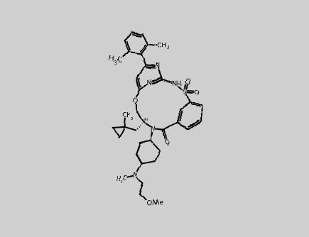 COCCN(C)[C@H]1CC[C@@H](N2C(=O)c3cccc(c3)S(=O)(=O)Nc3nc(cc(-c4c(C)cccc4C)n3)OC[C@H]2CC2(C(F)(F)F)CC2)CC1